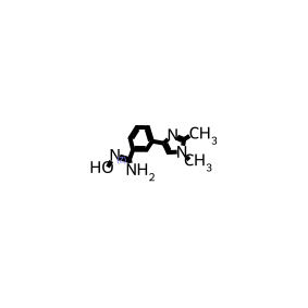 Cc1nc(-c2cccc(/C(N)=N/O)c2)cn1C